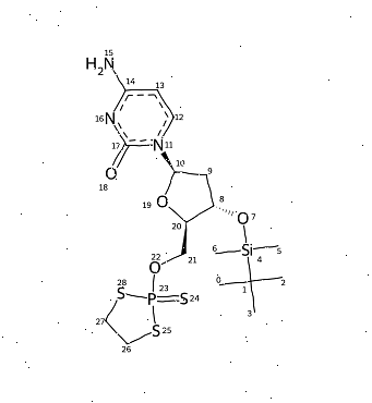 CC(C)(C)[Si](C)(C)O[C@H]1C[C@H](n2ccc(N)nc2=O)O[C@@H]1COP1(=S)SCCS1